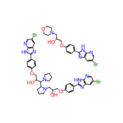 OC(COc1ccc(-c2nc3cc(Br)cnc3[nH]2)cc1)CN1CCCC1C(C(O)COc1ccc(-c2nc3cc(Br)cnc3[nH]2)cc1)N1CCCC1.OC(COc1ccc(-c2nc3cc(Br)cnc3[nH]2)cc1)CN1CCOCC1